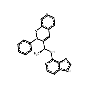 C[C@H](Nc1ncnc2[nH]cnc12)C1=Cc2ccncc2SN1c1ccccc1